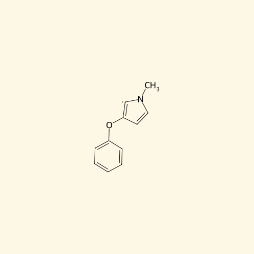 Cn1[c]c(Oc2ccccc2)cc1